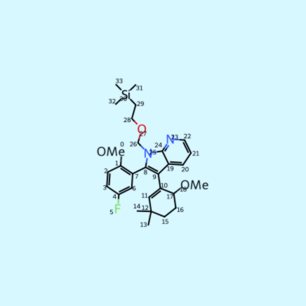 COc1ccc(F)cc1-c1c(C2=CC(C)(C)CCC2OC)c2cccnc2n1COCC[Si](C)(C)C